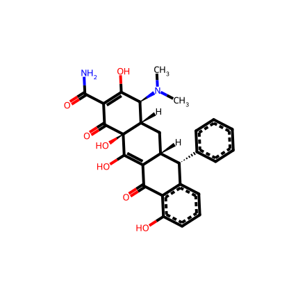 CN(C)[C@@H]1C(O)=C(C(N)=O)C(=O)[C@@]2(O)C(O)=C3C(=O)c4c(O)cccc4[C@@H](c4ccccc4)[C@H]3C[C@@H]12